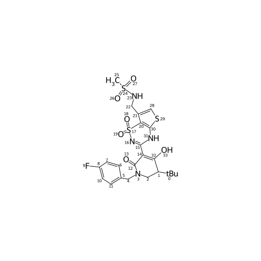 CC(C)(C)C1CN(Cc2ccc(F)cc2)C(=O)C(C2=NS(=O)(=O)c3c(CNS(C)(=O)=O)csc3N2)=C1O